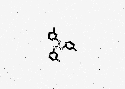 Cc1cccc(OP(Oc2cccc(C)c2)Oc2cccc(C)c2)c1